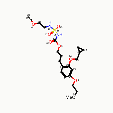 COCCOc1ccc(CCCOC(=O)NS(=O)(=O)NCCOC(C)C)c(OCC2CC2)c1